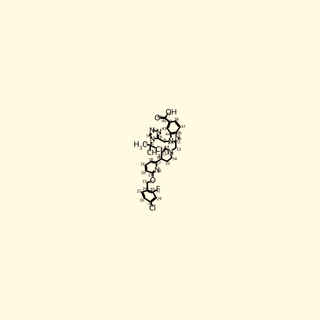 CC(C)(C)n1cnnc1Cn1c(CN2CCC(c3cccc(OCc4ccc(Cl)cc4F)n3)CC2)nc2ccc(C(=O)O)cc21